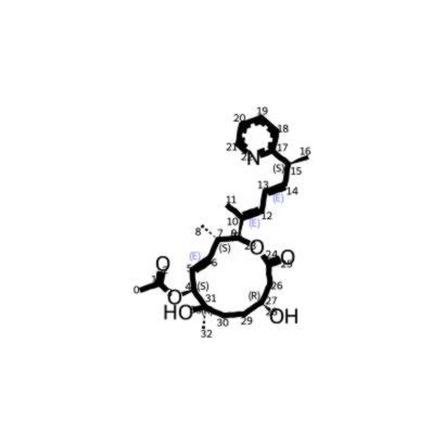 CC(=O)O[C@H]1/C=C/[C@H](C)[C@@H](/C(C)=C/C=C/[C@H](C)c2ccccn2)OC(=O)C[C@H](O)CC[C@@]1(C)O